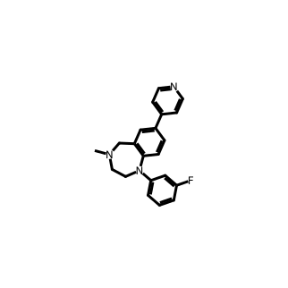 CN1CCN(c2cccc(F)c2)c2ccc(-c3ccncc3)cc2C1